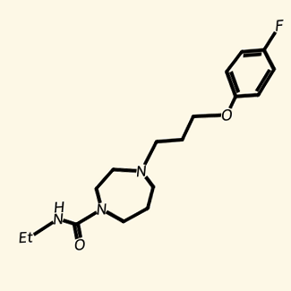 CCNC(=O)N1CCCN(CCCOc2ccc(F)cc2)CC1